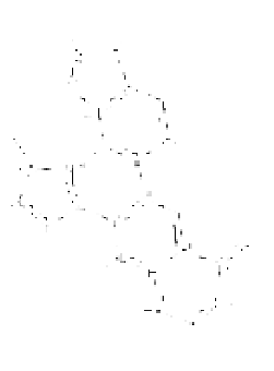 Cn1ccc(-c2nc3[nH]ccc(=O)c3cc2-c2ccc3[nH]ncc3c2)n1